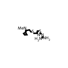 CNC(CCSCc1csc(N=C(N)N)n1)=C1CCC1